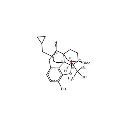 CO[C@]12CCC3(C[C@@H]1C(C)(O)C(C)(C)C)[C@H]1Cc4ccc(O)c5c4[C@@]3(CCN1CC1CC1)[C@H]2O5